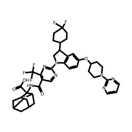 O=C(NC1(C(=O)O)C2CC3CC(C2)CC1C3)c1cnc(N2CC(C3CCC(F)(F)CC3)c3cc(OC4CCN(c5ncccn5)CC4)ccc32)nc1C(F)(F)F